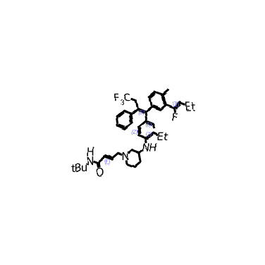 C/C=C(\C=C/C(=C/CC)NC1CCCN(C/C=C/C(=O)NC(C)(C)C)C1)C(=C(/CC(F)(F)F)c1ccccc1)/c1ccc(C)c(/C(F)=C/CC)c1